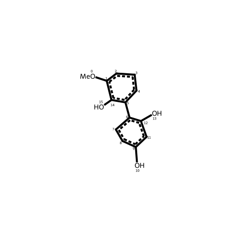 COc1cccc(-c2ccc(O)cc2O)c1O